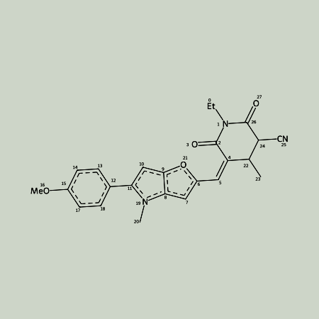 CCN1C(=O)/C(=C\c2cc3c(cc(-c4ccc(OC)cc4)n3C)o2)C(C)C(C#N)C1=O